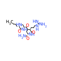 CCCC[C@@H]1NC[C@@H](C(=O)C2C[C@@H](C(N)=O)NC(=O)[C@@H]2CCCNC(=N)N)NC1=O